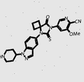 COc1cc(N2C(=O)C3(CCC3)N(c3ccc4c(cnn4C4CCNCC4)c3)C2=S)cnc1C#N